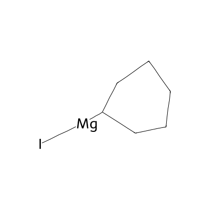 [I][Mg][CH]1CCCCC1